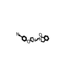 N#Cc1ccc(O[C@H]2CCN(CCN3CCc4ccccc4C3=O)C2)cc1